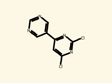 Clc1cc(-c2cncnc2)nc(Cl)n1